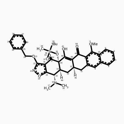 COc1c2c(cc3ccccc13)C[C@H]1C[C@H]3[C@H](N(C)C)c4onc(OCc5ccccc5)c4C(=O)[C@@]3(O[Si](C)(C)C(C)(C)C)C(O)=C1C2=O